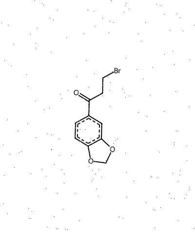 O=C(CCBr)c1ccc2c(c1)OCO2